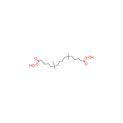 CC(C)(CCCCC(=O)OO)CCCCC(C)(C)CCCCC(=O)OO